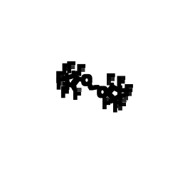 FC1=C(OCCOC2=C(F)C(F)(F)C(F)(F)C2(F)F)C(F)(F)C(F)(F)C1(F)F